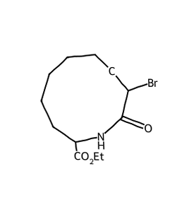 CCOC(=O)C1CCCCCCC(Br)C(=O)N1